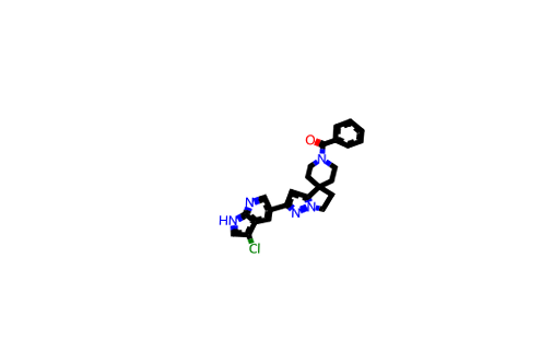 O=C(c1ccccc1)N1CCC2(CC1)CCn1nc(-c3cnc4[nH]cc(Cl)c4c3)cc12